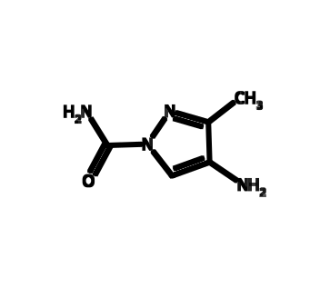 Cc1nn(C(N)=O)cc1N